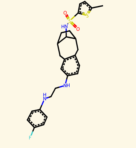 Cc1ccc(S(=O)(=O)NC2C3CCC2Cc2cc(NCCNc4ccc(F)cc4)ccc2C3)s1